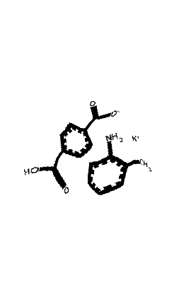 Cc1ccccc1N.O=C([O-])c1ccc(C(=O)O)cc1.[K+]